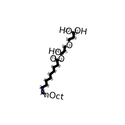 CCCCCCCC/C=C\CCCCCCCC(=O)OC(O)CCOCCC(O)O